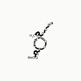 COC(=O)c1cccc(CN2CCOCCOCCN(C(COCCOCCN=C=S)c3cccc(C)n3)CCOCCOCC2)n1